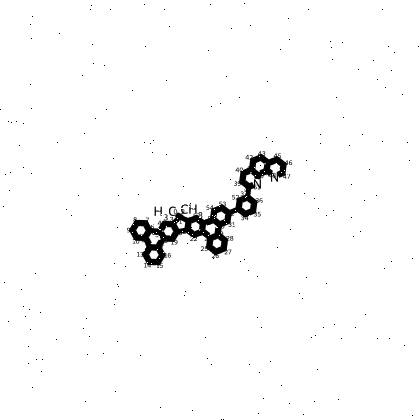 CC1(C)c2cc3c4ccccc4c4ccccc4c3cc2-c2cc3c4ccccc4c4cc(-c5cccc(-c6ccc7ccc8cccnc8c7n6)c5)ccc4c3cc21